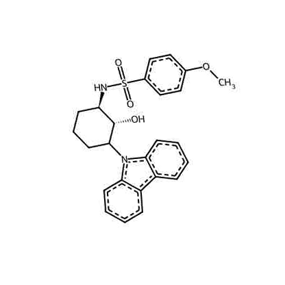 COc1ccc(S(=O)(=O)N[C@@H]2CCCC(n3c4ccccc4c4ccccc43)[C@H]2O)cc1